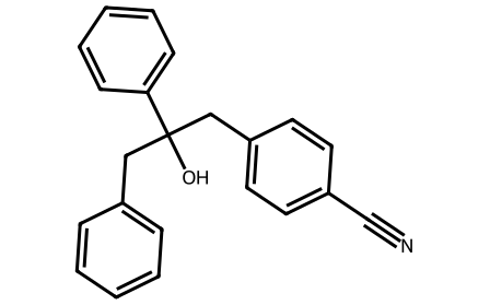 N#Cc1ccc(CC(O)(Cc2ccccc2)c2ccccc2)cc1